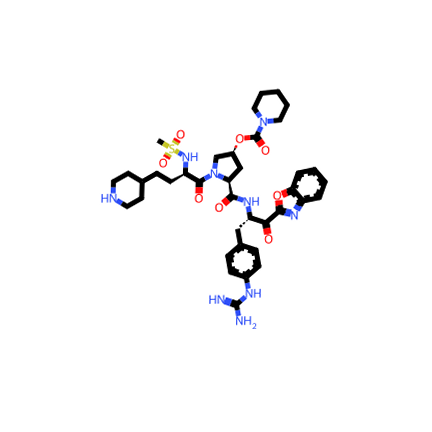 CS(=O)(=O)N[C@H](CCC1CCNCC1)C(=O)N1C[C@H](OC(=O)N2CCCCC2)C[C@H]1C(=O)N[C@@H](Cc1ccc(NC(=N)N)cc1)C(=O)c1nc2ccccc2o1